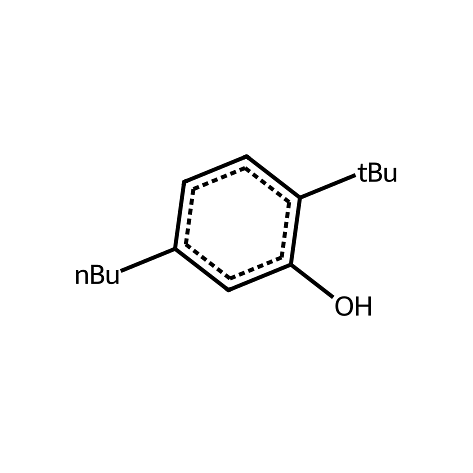 CCCCc1ccc(C(C)(C)C)c(O)c1